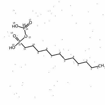 CCCCCCCCCCCCP(=O)(O)O[PH](=O)O